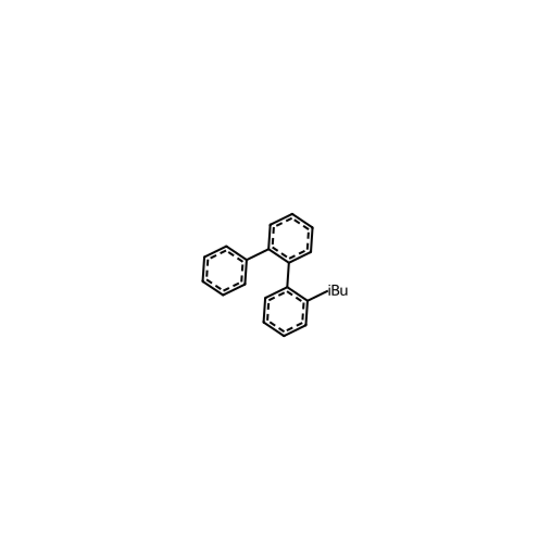 CCC(C)c1ccccc1-c1ccccc1-c1ccccc1